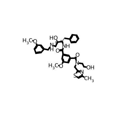 COc1cccc(CNC[C@@H](O)[C@H](Cc2ccccc2)NC(=O)c2cc(OC)cc(C(=O)N(CCO)Cc3nc(C)cs3)c2)c1